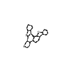 c1ccc2c(c1)nc1c3cnccc3c3ccc4c5ccccc5oc4c3n21